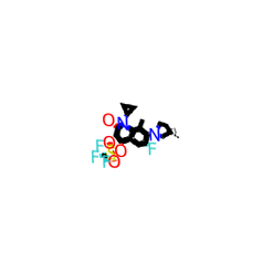 Cc1c(N2CC[C@H](C)C2)c(F)cc2c(OS(=O)(=O)C(F)(F)F)cc(=O)n(C3CC3)c12